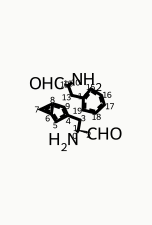 N[C@H](C=O)Cc1cc2cc-2c1.N[C@H](C=O)Cc1ccccc1